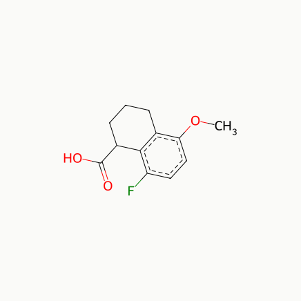 COc1ccc(F)c2c1CCCC2C(=O)O